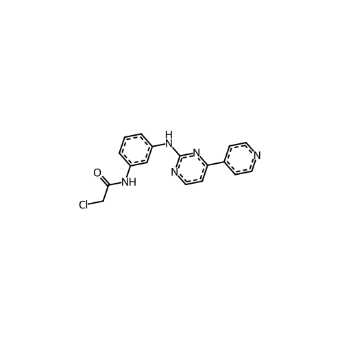 O=C(CCl)Nc1cccc(Nc2nccc(-c3ccncc3)n2)c1